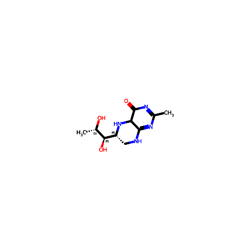 CC1=NC(=O)C2N[C@@H]([C@@H](O)[C@H](C)O)CNC2=N1